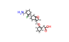 NCc1cccc(-c2ccc3c(COc4ccccc4CC(=O)O)coc3c2)c1F